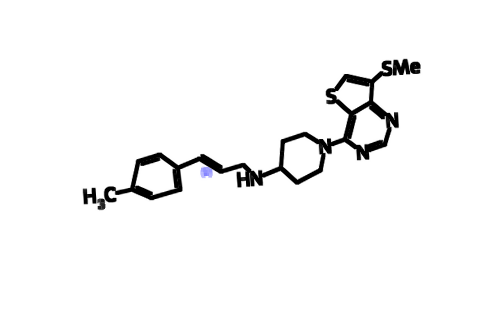 CSc1csc2c(N3CCC(NC/C=C/c4ccc(C)cc4)CC3)ncnc12